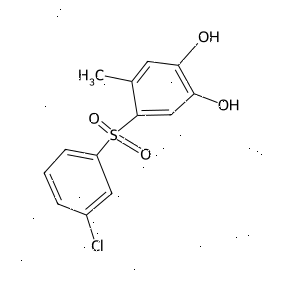 Cc1cc(O)c(O)cc1S(=O)(=O)c1cccc(Cl)c1